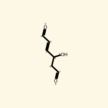 O=CC=CC(O)CC=O